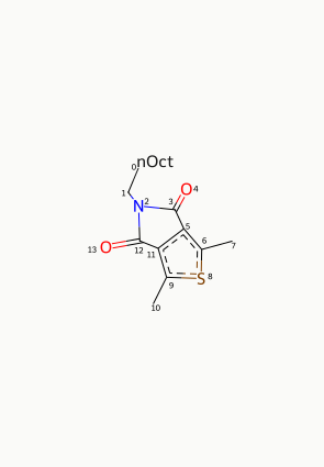 CCCCCCCCCN1C(=O)c2c(C)sc(C)c2C1=O